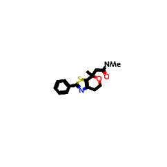 CNC(=O)CC1(C)OCCc2nc(-c3ccccc3)sc21